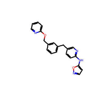 c1ccc(OCc2cccc(Cc3ccc(Nc4ccno4)nc3)c2)nc1